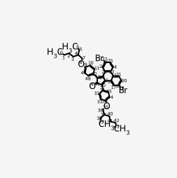 CCCCC(CC)COc1ccc(C2=c3c(c4cc(Br)ccc4c4ccc(Br)cc34)=C(c3ccc(OCC(CC)CCCC)cc3)C2=O)cc1